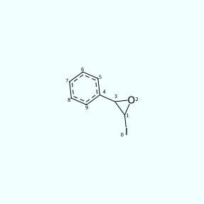 IC1OC1c1ccccc1